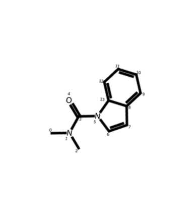 CN(C)C(=O)n1ccc2ccccc21